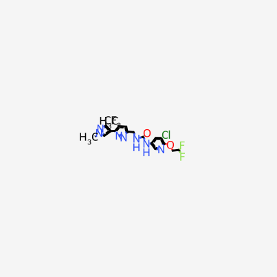 Cc1cc(CNC(=O)Nc2cnc(OCC(F)F)c(Cl)c2)nnc1-c1cn(C)nc1C(F)(F)F